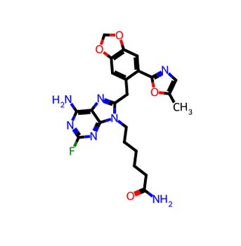 Cc1cnc(-c2cc3c(cc2Cc2nc4c(N)nc(F)nc4n2CCCCCC(N)=O)OCO3)o1